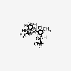 Cc1cc(NC(=O)C2CC2(Cl)Cl)cc(C(=O)Nc2ccc(F)c(NC(=O)C(F)(F)F)c2F)c1Cl